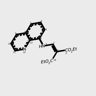 CCOC(=O)C(=CNc1cccc2cccnc12)C(=O)OCC